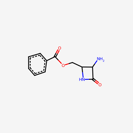 NC1C(=O)NC1COC(=O)c1ccccc1